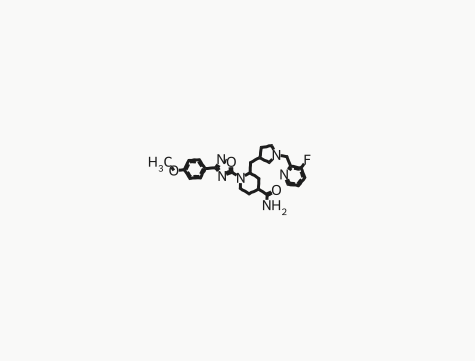 COc1ccc(-c2noc(N3CCC(C(N)=O)CC3CC3CCN(Cc4ncccc4F)C3)n2)cc1